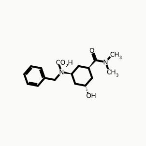 CN(C)C(=O)[C@H]1C[C@H](O)C[C@@H](N(Cc2ccccc2)C(=O)O)C1